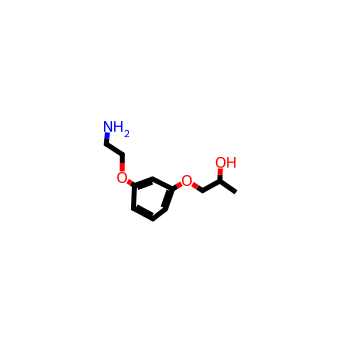 CC(O)COc1cccc(OCCN)c1